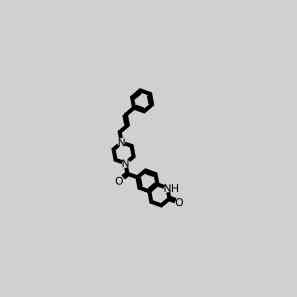 O=C1CCc2cc(C(=O)N3CCN(CC=Cc4ccccc4)CC3)ccc2N1